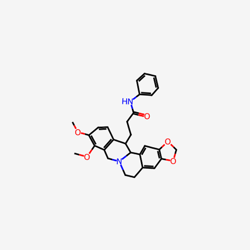 COc1ccc2c(c1OC)CN1CCc3cc4c(cc3C1C2CCC(=O)Nc1ccccc1)OCO4